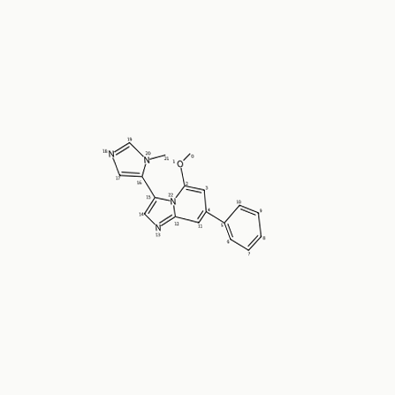 COc1cc(-c2ccccc2)cc2ncc(-c3cncn3C)n12